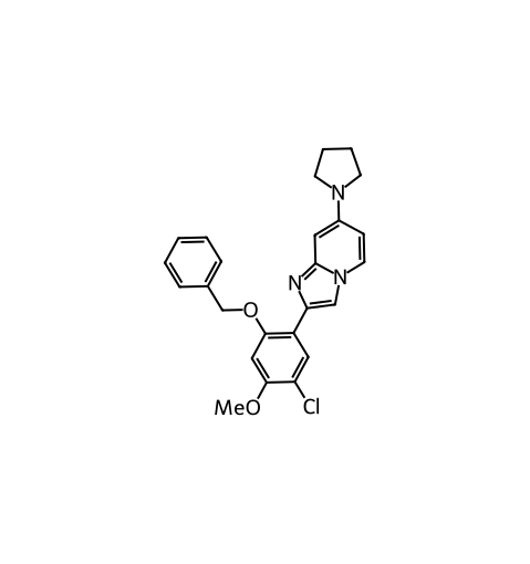 COc1cc(OCc2ccccc2)c(-c2cn3ccc(N4CCCC4)cc3n2)cc1Cl